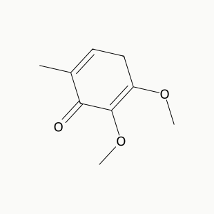 COC1=C(OC)C(=O)C(C)=CC1